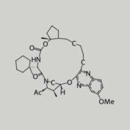 COc1ccc2nc3c(nc2c1)O[C@H]1CN(C(=O)[C@H](C2(C)CCCCC2)NC(=O)O[C@]2(C)CCCC2CCCCC3)[C@H](C(C)=O)[C@@H]1C